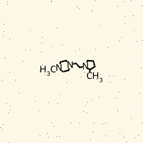 CC1CCCN1CCN1CCN(C)CC1